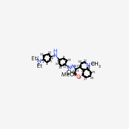 CCN(CC)c1ccc(Nc2ccc(N(C)/N=C(\C(=O)OC)c3cc[n+](C)c4ccccc34)cc2)cc1